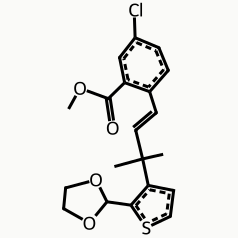 COC(=O)c1cc(Cl)ccc1C=CC(C)(C)c1ccsc1C1OCCO1